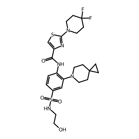 O=C(Nc1ccc(S(=O)(=O)NCCO)cc1N1CCC2(CC1)CC2)c1csc(N2CCC(F)(F)CC2)n1